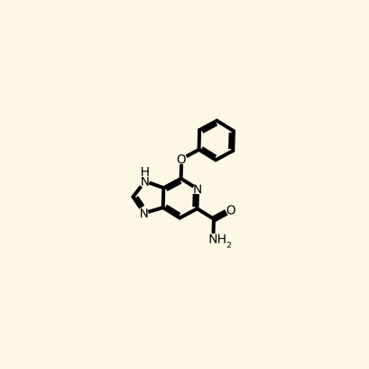 NC(=O)c1cc2nc[nH]c2c(Oc2ccccc2)n1